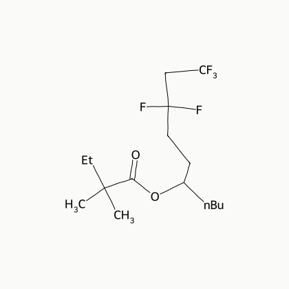 CCCCC(CCC(F)(F)CC(F)(F)F)OC(=O)C(C)(C)CC